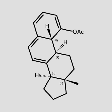 CC(=O)OC1=CC=CC2=CC=C3[C@H](CC[C@]4(C)CCC[C@@H]34)[C@H]21